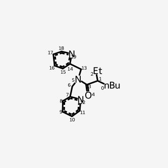 CCCCC(CC)C(=O)N(Cc1ccccn1)Cc1ccccn1